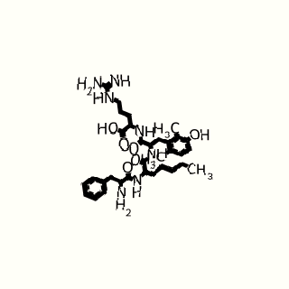 CCCCCC(NC(=O)C(N)Cc1ccccc1)C(=O)NC(Cc1c(C)ccc(O)c1C)C(=O)NC(CCCNC(=N)N)C(=O)O